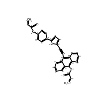 C=CC(=O)Oc1ccc(-c2ccc(C#Cc3c4ccccc4c(OC(=O)C=C)c4ccccc34)o2)cc1